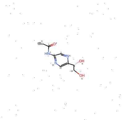 CC(C)(C)C(=O)Nc1cnc([C@H](O)CO)cn1